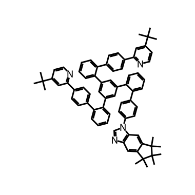 CC(C)(C)c1ccnc(-c2ccc(-c3ccccc3-c3cc(-c4ccccc4-c4ccc(-c5cc(C(C)(C)C)ccn5)cc4)cc(-c4ccccc4-c4ccc(-n5cnc6cc7c(cc65)C(C)(C)C(C)(C)C7(C)C)cc4)c3)cc2)c1